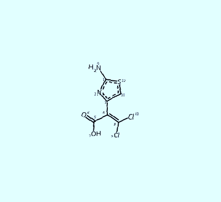 Nc1nc(C(C(=O)O)=C(Cl)Cl)cs1